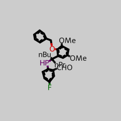 CCCCC(CCC)(Pc1ccc(F)cc1C=O)c1cc(OC)cc(OC)c1OCc1ccccc1